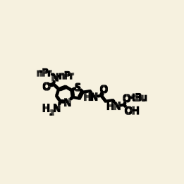 CCCN(CCC)C(=O)C1=Cc2sc(CNC(=O)CCNC(O)OC(C)(C)C)cc2N=C(N)C1